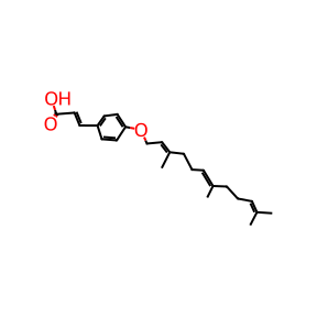 CC(C)=CCC/C(C)=C/CC/C(C)=C/COc1ccc(/C=C/C(=O)O)cc1